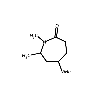 CNC1CCC(=O)N(C)C(C)C1